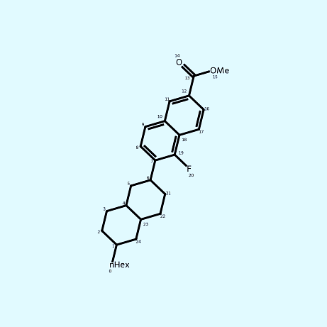 CCCCCCC1CCC2CC(c3ccc4cc(C(=O)OC)ccc4c3F)CCC2C1